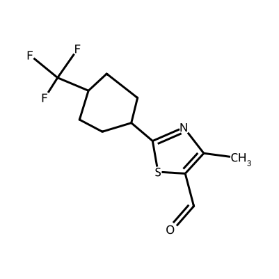 Cc1nc(C2CCC(C(F)(F)F)CC2)sc1C=O